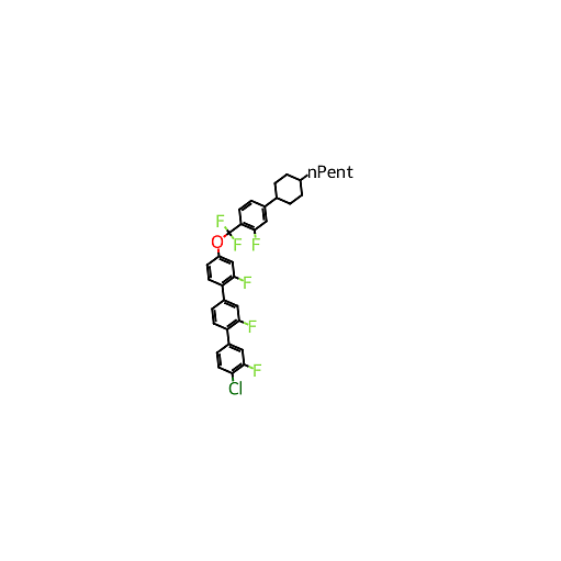 CCCCCC1CCC(c2ccc(C(F)(F)Oc3ccc(-c4ccc(-c5ccc(Cl)c(F)c5)c(F)c4)c(F)c3)c(F)c2)CC1